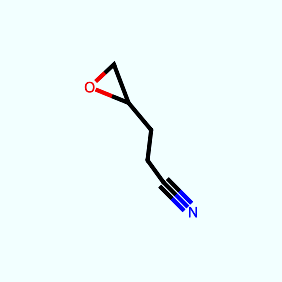 N#CCCC1CO1